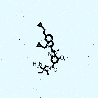 CC[C@@]1(CN)CN(C(=O)c2cc(OC)c3c(c2)nc(-c2cc4ccc(/C=C/C5CC5)cc4n2CC2CC2)n3C)C1C